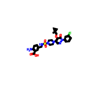 CC1(COc2c(N3CCN(S(=O)(=O)NCc4ccc(N)c(C(=O)O)c4)CC3)cnn(-c3cccc(Cl)c3)c2=O)CC1